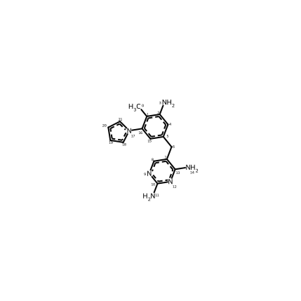 Cc1c(N)cc(Cc2cnc(N)nc2N)cc1-n1cccc1